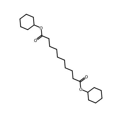 O=C(CCCCCCCCC(=O)OC1CCCCC1)OC1CCCCC1